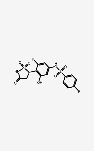 O=C1CN(c2c(O)cc(NS(=O)(=O)c3ccc(F)cc3)cc2F)S(=O)(=O)N1